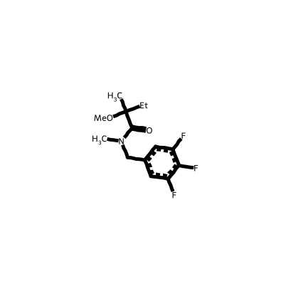 CCC(C)(OC)C(=O)N(C)Cc1cc(F)c(F)c(F)c1